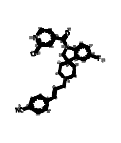 N#Cc1ccc(/C=C/CN2CCC3(CC2)CN(C(=O)c2ccnc(Cl)c2)c2ccc(F)cc23)cc1